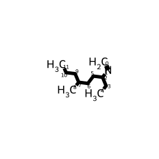 C=NC(CC)CCC(C)CCC